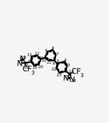 FC(F)(F)C1(c2ccc(-c3cccc(-c4ccc(C5(C(F)(F)F)N=N5)cc4)c3)cc2)N=N1